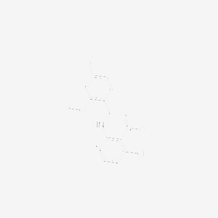 COc1ccc(CNc2nccc(Cl)c2[N+](=O)[O-])c(OC)c1